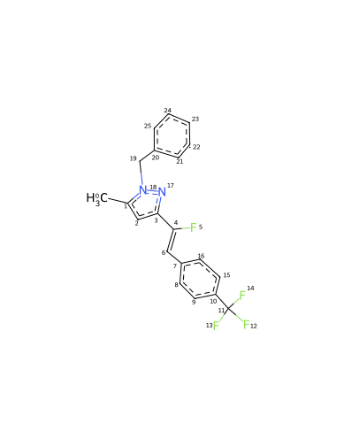 Cc1cc(C(F)=Cc2ccc(C(F)(F)F)cc2)nn1Cc1c[c]ccc1